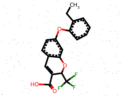 CCc1ccccc1Oc1ccc2c(c1)OC(C(F)(F)F)C(C(=O)O)=C2